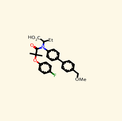 CCC(C(=O)O)N(C(=O)C(C)(C)Oc1ccc(F)cc1)c1ccc(-c2ccc(COC)cc2)cc1